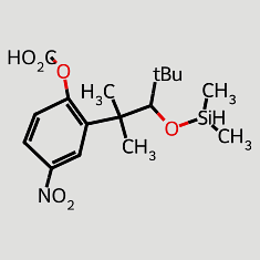 C[SiH](C)OC(C(C)(C)C)C(C)(C)c1cc([N+](=O)[O-])ccc1OC(=O)O